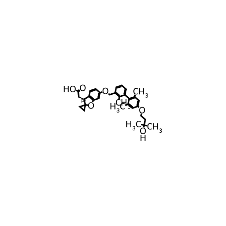 Cc1cc(OCCC(C)(C)O)cc(C)c1-c1cccc(COc2ccc3c(c2)OC2(CC2)[C@H]3CC(=O)O)c1C